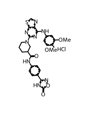 COc1ccc(Nc2nc(N3CCCC(C(=O)Nc4ccc(-c5noc(=O)[nH]5)cc4)C3)nc3scnc23)cc1OC.Cl